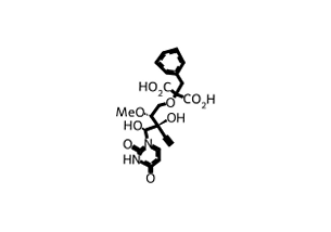 C#C[C@@](O)([C@@H](COC(Cc1ccccc1)(C(=O)O)C(=O)O)OC)[C@@H](O)n1ccc(=O)[nH]c1=O